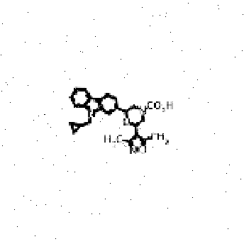 Cc1noc(C)c1C1CN(C(=O)O)CC(c2ccc3c4ccccc4n(CC4CC4)c3c2)O1